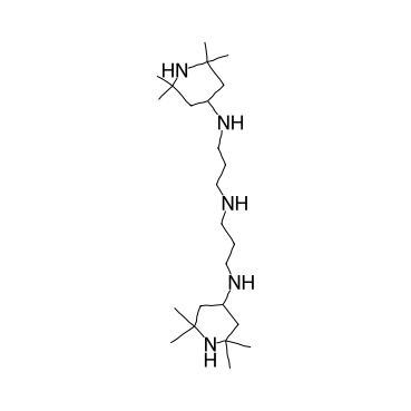 CC1(C)CC(NCCCNCCCNC2CC(C)(C)NC(C)(C)C2)CC(C)(C)N1